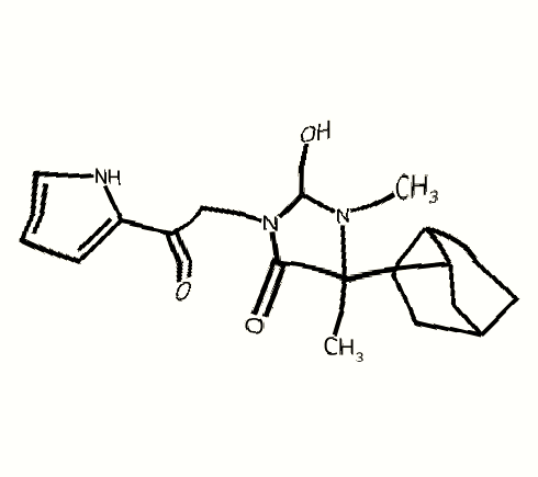 CN1C(O)N(CC(=O)c2ccc[nH]2)C(=O)C1(C)C1CC2CCC1CC2